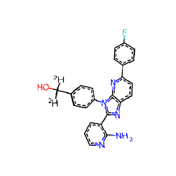 [2H]C([2H])(O)c1ccc(-n2c(-c3cccnc3N)nc3ccc(-c4ccc(F)cc4)nc32)cc1